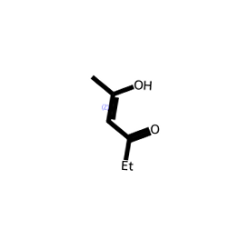 CCC(=O)/C=C(/C)O